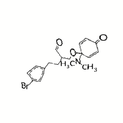 CN(C)C1(OCC(C=O)CCc2ccc(Br)cc2)C=CC(=O)C=C1